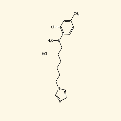 Cc1ccc(N(C)CCCCCCn2ccnc2)c(Cl)c1.Cl